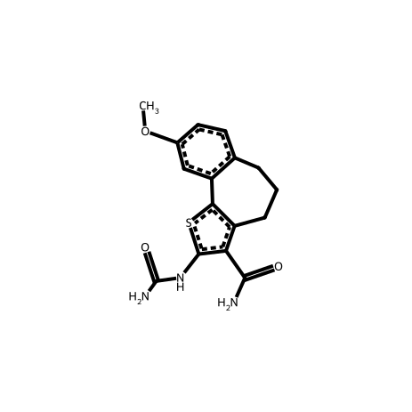 COc1ccc2c(c1)-c1sc(NC(N)=O)c(C(N)=O)c1CCC2